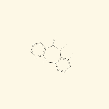 CC(=O)N1C(=O)c2cccnc2Nc2cccc(O)c21